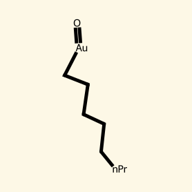 CCCCCCC[CH2][Au]=[O]